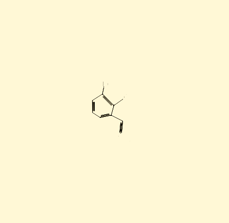 C=Cc1cccc(CC)c1C